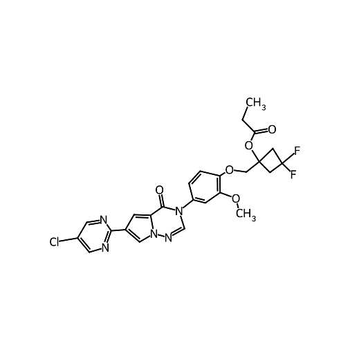 CCC(=O)OC1(COc2ccc(-n3cnn4cc(-c5ncc(Cl)cn5)cc4c3=O)cc2OC)CC(F)(F)C1